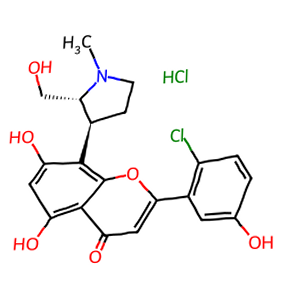 CN1CC[C@@H](c2c(O)cc(O)c3c(=O)cc(-c4cc(O)ccc4Cl)oc23)[C@@H]1CO.Cl